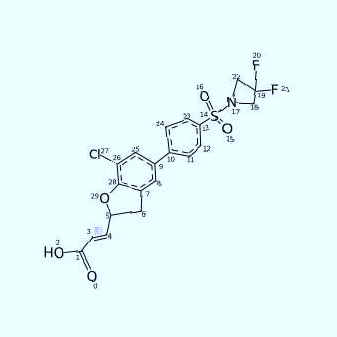 O=C(O)/C=C/C1Cc2cc(-c3ccc(S(=O)(=O)N4CC(F)(F)C4)cc3)cc(Cl)c2O1